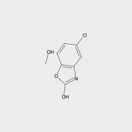 CO.Oc1nc2cc(Cl)ccc2o1